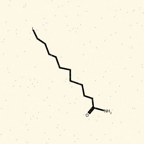 NC(=O)CCCCCCCCCCI